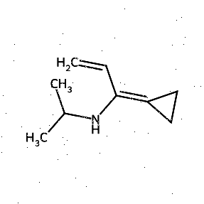 C=CC(NC(C)C)=C1CC1